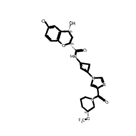 O=C(NC12CC(n3cnc(C(=O)N4CCC[C@@H](OC(F)(F)F)C4)c3)(C1)C2)[C@H]1C[C@@H](O)c2cc(Cl)ccc2O1